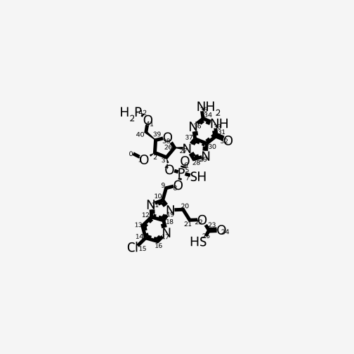 CO[C@H]1[C@@H](OP(=O)(S)OCc2nc3cc(Cl)cnc3n2CCOC(=O)S)[C@H](n2cnc3c(=O)[nH]c(N)nc32)O[C@@H]1COP